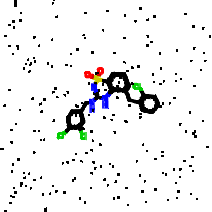 O=S1(=O)N=C(NCc2ccc(Cl)c(Cl)c2)Nc2c(Cc3ccccc3Cl)cccc21